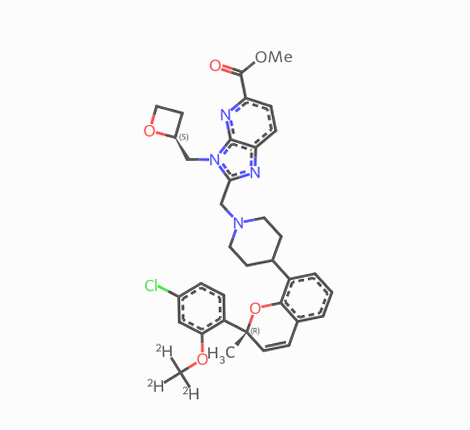 [2H]C([2H])([2H])Oc1cc(Cl)ccc1[C@@]1(C)C=Cc2cccc(C3CCN(Cc4nc5ccc(C(=O)OC)nc5n4C[C@@H]4CCO4)CC3)c2O1